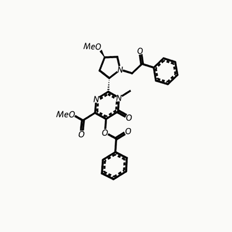 COC(=O)c1nc([C@@H]2C[C@@H](OC)CN2CC(=O)c2ccccc2)n(C)c(=O)c1OC(=O)c1ccccc1